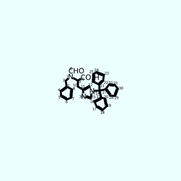 O=CN(Cc1ccccc1)C(Cc1cn(C(c2ccccc2)(c2ccccc2)c2ccccc2)cn1)C(=O)O